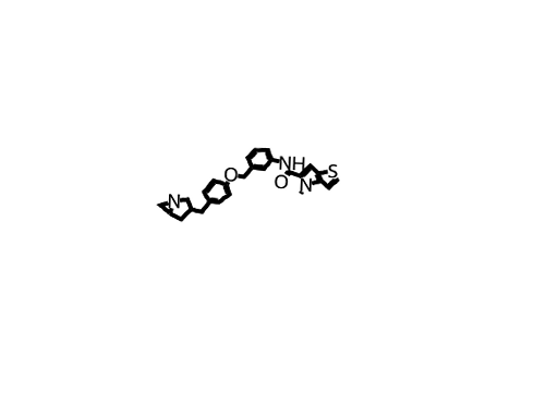 Cn1c(C(=O)Nc2cccc(COc3ccc(CC4CC5CN5C4)cc3)c2)cc2sccc21